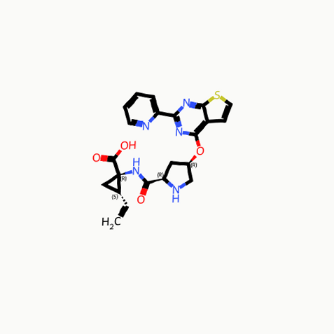 C=C[C@@H]1C[C@]1(NC(=O)[C@H]1C[C@@H](Oc2nc(-c3ccccn3)nc3sccc23)CN1)C(=O)O